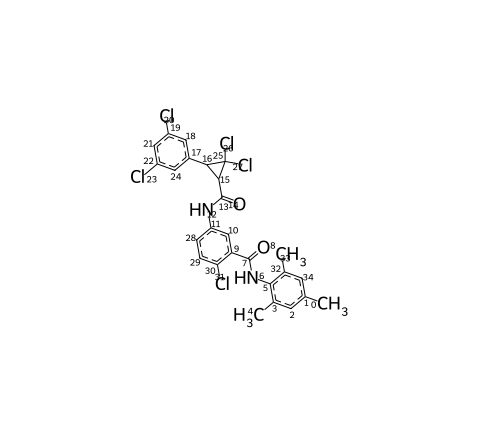 Cc1cc(C)c(NC(=O)c2cc(NC(=O)C3C(c4cc(Cl)cc(Cl)c4)C3(Cl)Cl)ccc2Cl)c(C)c1